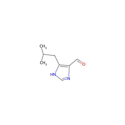 CC(C)Cc1[nH]cnc1C=O